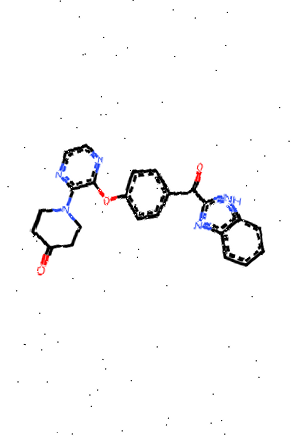 O=C1CCN(c2nccnc2Oc2ccc(C(=O)c3nc4ccccc4[nH]3)cc2)CC1